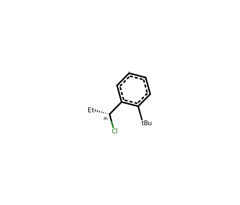 CC[C@@H](Cl)c1c[c]ccc1C(C)(C)C